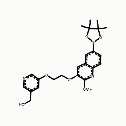 COc1nc2ccc(B3OC(C)(C)C(C)(C)O3)cc2cc1OCCOc1cncc(CO)c1